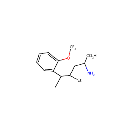 CCC(CC(N)C(=O)O)C(C)c1ccccc1OC(F)(F)F